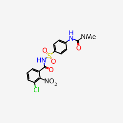 CNC(=O)Nc1ccc(S(=O)(=O)NC(=O)c2cccc(Cl)c2[N+](=O)[O-])cc1